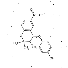 CC1C(Oc2ccc(O)nn2)c2cc([N+](=O)[O-])ccc2OC1(C)C